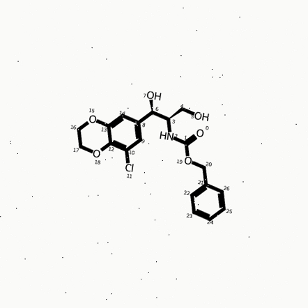 O=C(N[C@H](CO)[C@H](O)c1cc(Cl)c2c(c1)OCCO2)OCc1ccccc1